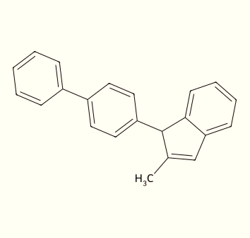 CC1=Cc2ccccc2C1c1ccc(-c2ccccc2)cc1